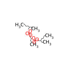 CCCCC(CC)COC(=O)OCC(CCC)OC(=O)OCC(CC)CCCC